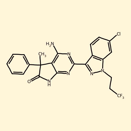 CC1(c2ccccc2)C(=O)Nc2nc(-c3nn(CCC(F)(F)F)c4cc(Cl)ccc34)nc(N)c21